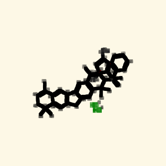 Cl.Cl.[CH2]=[Zr]([CH3])([C]1=CC(C(C)(C)C)=CC1CC)([c]1ccccc1)[CH]1C=C(C)c2cc3c(cc2C1(C)C)Cc1cc2c(cc1-3)C(C)=CCC2(C)C